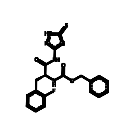 O=C(N[C@@H](Cc1ccccc1F)C(=O)Nc1n[nH]c(=S)s1)OCc1ccccc1